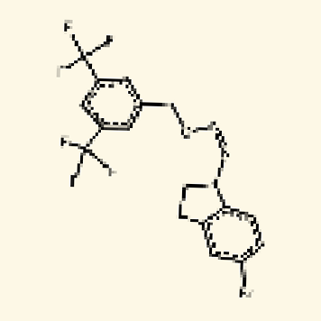 FC(F)(F)c1cc(CO/N=N\C2CCc3cc(Br)ccc32)cc(C(F)(F)F)c1